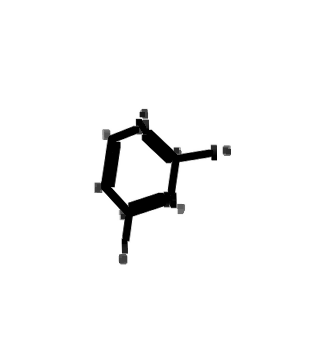 Ic1ccnc(I)n1